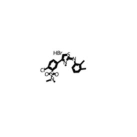 Br.Cc1cccc(/N=c2/scc(-c3ccc(Cl)c(S(=O)(=O)N(C)C)c3)n2C)c1C